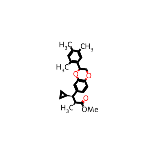 COC(=O)[C@@H](C)[C@H](c1ccc2c(c1)OC(c1cc(C)c(C)cc1C)CO2)C1CC1